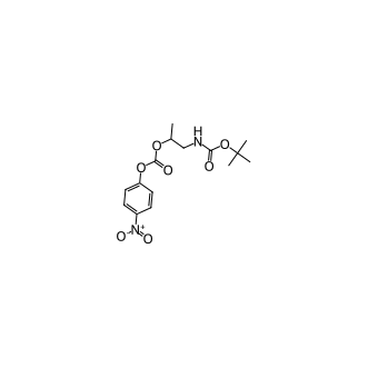 CC(CNC(=O)OC(C)(C)C)OC(=O)Oc1ccc([N+](=O)[O-])cc1